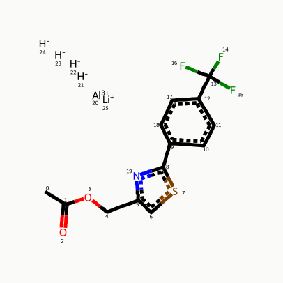 CC(=O)OCc1csc(-c2ccc(C(F)(F)F)cc2)n1.[Al+3].[H-].[H-].[H-].[H-].[Li+]